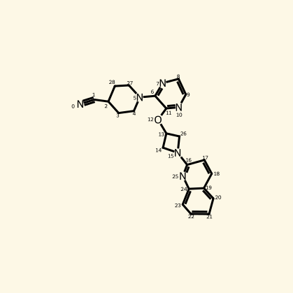 N#CC1CCN(c2nccnc2OC2CN(c3ccc4ccccc4n3)C2)CC1